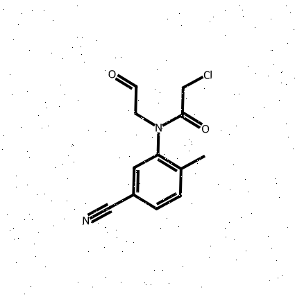 Cc1ccc(C#N)cc1N(CC=O)C(=O)CCl